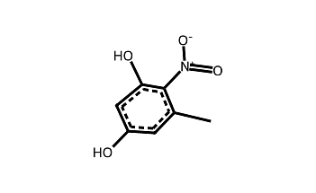 Cc1cc(O)cc(O)c1[N+](=O)[O-]